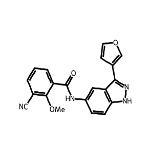 COc1c(C#N)cccc1C(=O)Nc1ccc2[nH]nc(-c3ccoc3)c2c1